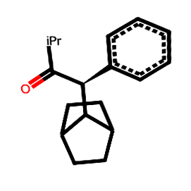 CC(C)C(=O)[C@@H](c1ccccc1)C1C2CCC1CC2